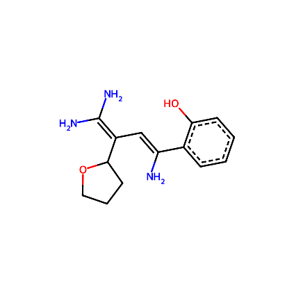 NC(N)=C(/C=C(\N)c1ccccc1O)C1CCCO1